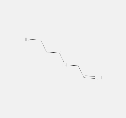 C=CCNCCC[NH]